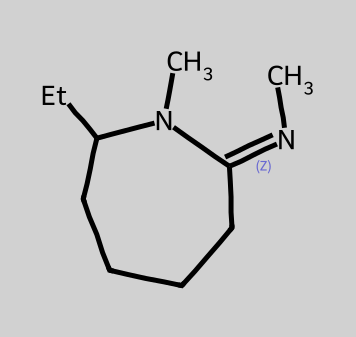 CCC1CCCC/C(=N/C)N1C